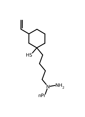 C=CC1CCCC(S)(CCCCN(N)CCC)C1